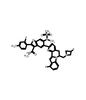 CNC(=O)c1c(-c2ccc(C)cc2F)oc2cc(N(C)S(C)(=O)=O)c(-c3ccc4c(n3)-c3cc5c(F)cccc5n3C(CN3CC(F)C3)C4)cc12